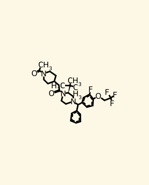 CC(=O)N1CCC(CC(=O)N2CCN(C(c3ccccc3)c3ccc(OCC(F)(F)F)c(F)c3)C[C@@H]2C(C)(C)C)CC1